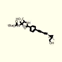 CCC(C)(NC(=O)OC(C)(C)C)C(NC(=O)c1ccc(C#CC#C[C@@H]2C[C@@]2(C)CO)cc1)C(=O)O